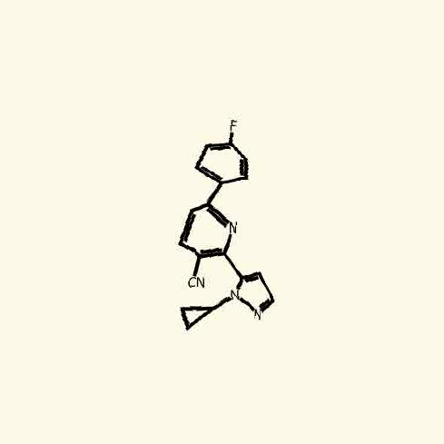 N#Cc1ccc(-c2ccc(F)cc2)nc1-c1ccnn1C1CC1